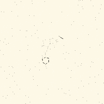 C=CC1CCC(C(OCc2ccc(C)cc2)C(F)F)CC1